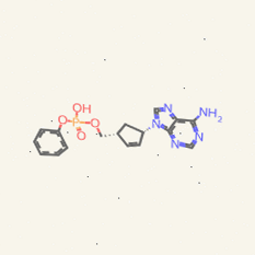 Nc1ncnc2c1ncn2[C@@H]1C=C[C@H](COP(=O)(O)Oc2ccccc2)C1